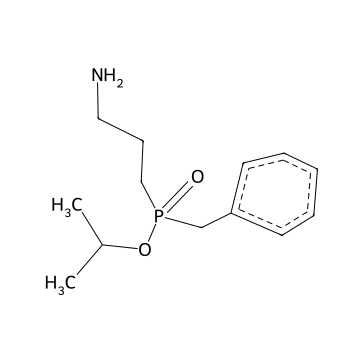 CC(C)OP(=O)(CCCN)Cc1ccccc1